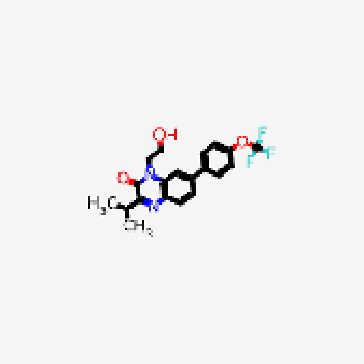 CC(C)c1nc2ccc(-c3ccc(OC(F)(F)F)cc3)cc2n(CCO)c1=O